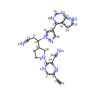 C#Cc1cnc(N2CCC(C(CC#N)n3cc(-c4ncnc5[nH]ccc45)cn3)C2)c(C#N)n1